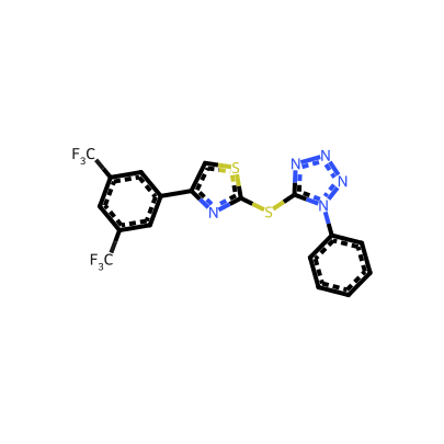 FC(F)(F)c1cc(-c2csc(Sc3nnnn3-c3ccccc3)n2)cc(C(F)(F)F)c1